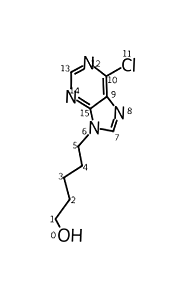 OCCCCCn1cnc2c(Cl)ncnc21